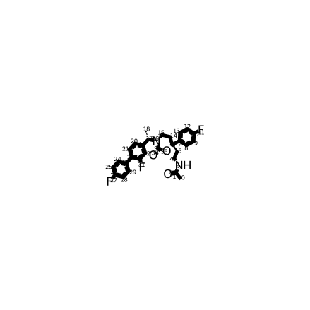 CC(=O)NCC[C@]1(c2ccc(F)cc2)CCN([C@@H](C)c2ccc(-c3ccc(F)cc3)c(F)c2)C(=O)O1